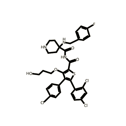 O=C(NC(=O)C1(NCc2ccc(F)cc2)CCNCC1)c1sc(-c2ccc(Cl)cc2Cl)c(-c2ccc(Cl)cc2)c1OCCCO